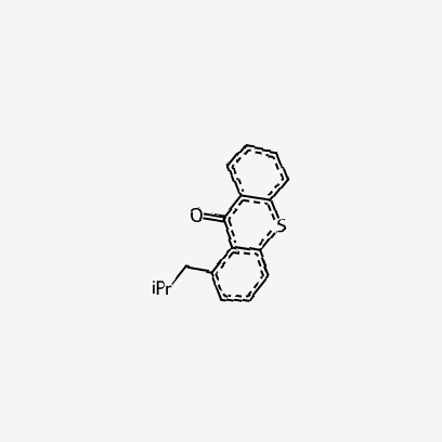 CC(C)Cc1cccc2sc3ccccc3c(=O)c12